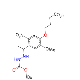 COc1cc(C(C)NNC(=O)OC(C)(C)C)c([N+](=O)[O-])cc1OCCCC(=O)O